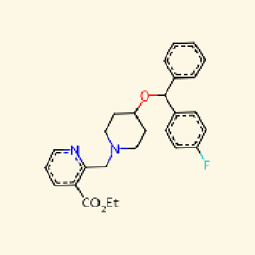 CCOC(=O)c1cccnc1CN1CCC(OC(c2ccccc2)c2ccc(F)cc2)CC1